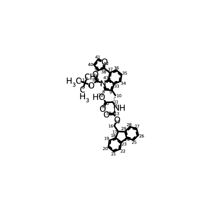 CC(C)(C)OC(=O)n1cc(C[C@H](NC(=O)OCC2c3ccccc3-c3ccccc32)C(=O)O)c2cccc(-c3ccco3)c21